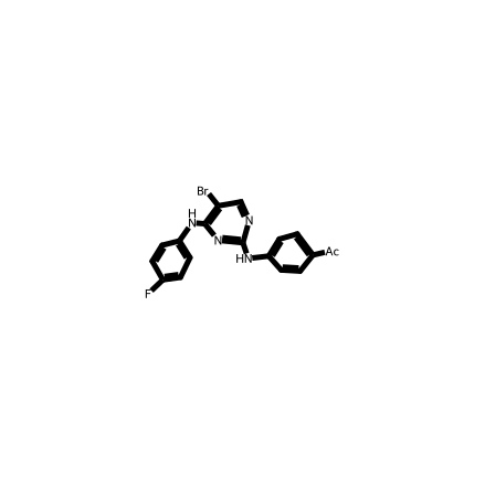 CC(=O)c1ccc(Nc2ncc(Br)c(Nc3ccc(F)cc3)n2)cc1